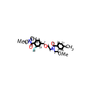 COCCN(CCOCc1ccc(C(=O)N(C)OC)c(F)c1)C(=O)c1ccc(C)cc1